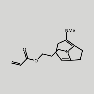 C=CC(=O)OCCCN1C2=CCCC(NC)=C1CC2